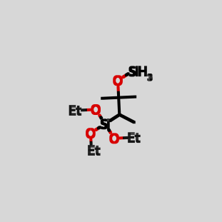 CCO[Si](OCC)(OCC)C(C)C(C)(C)O[SiH3]